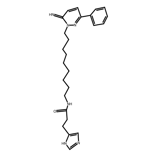 N=c1ccc(-c2ccccc2)nn1CCCCCCCCCNC(=O)CCc1cnc[nH]1